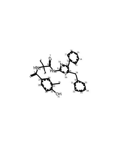 C=C(NC(C)(C)C(=O)Nc1nc(-c2ccccc2)c(Cc2ccccc2)s1)c1ccc(O)c(C)c1